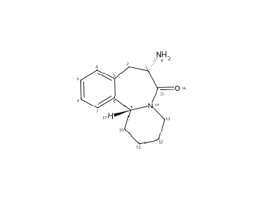 N[C@H]1Cc2ccccc2[C@H]2CCCCN2C1=O